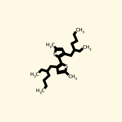 CCCCC(CC)Cc1cc(C)sc1-c1sc(C)cc1CC(CC)CCCC